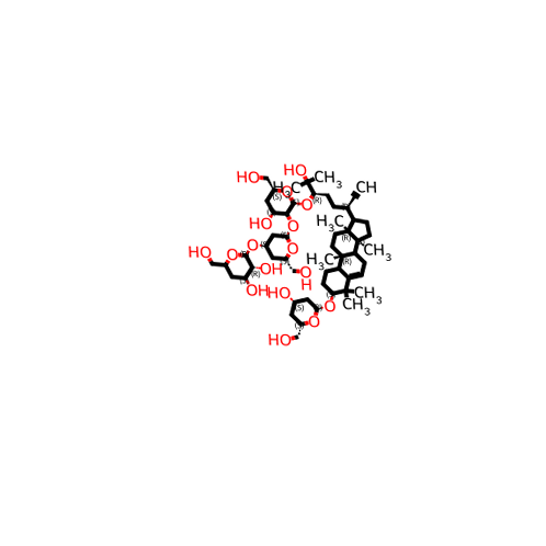 C#C[C@H](CC[C@@H](O[C@@H]1O[C@H](CO)C[C@H](O)C1O[C@H]1C[C@@H](O[C@@H]2OC(CO)C[C@H](O)[C@H]2O)C[C@@H](CO)O1)C(C)(C)O)C1CC[C@@]2(C)C3CC=C4C(CC[C@H](O[C@H]5C[C@@H](O)C[C@@H](CO)O5)C4(C)C)[C@]3(C)CC[C@]12C